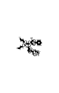 CCCCOC[C@H](OCCCC)[C@H](O[C@@H](C)C1CO[C@@H]([C@H](CO)N=[N+]=[N-])O1)O[C@H]1COC(c2ccccc2)O[C@H]1C